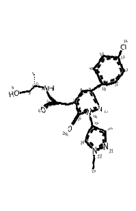 C[C@@H](CO)NC(=O)c1cc(-c2ccc(Cl)cc2)nn(-c2cnn(C)c2)c1=O